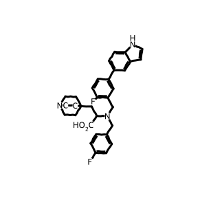 O=C(O)C(CC12CCN(CC1)CC2)N(Cc1ccc(F)cc1)Cc1cc(-c2ccc3[nH]ccc3c2)ccc1F